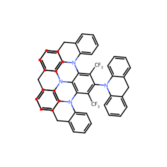 FC(F)(F)c1c(N2c3ccccc3Cc3ccccc32)c(N2c3ccccc3Cc3ccccc32)c(N2c3ccccc3Cc3ccccc32)c(C(F)(F)F)c1N1c2ccccc2Cc2ccccc21